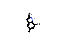 CCc1cc(C)cc2cc(C(C)(C)C)[nH]c12